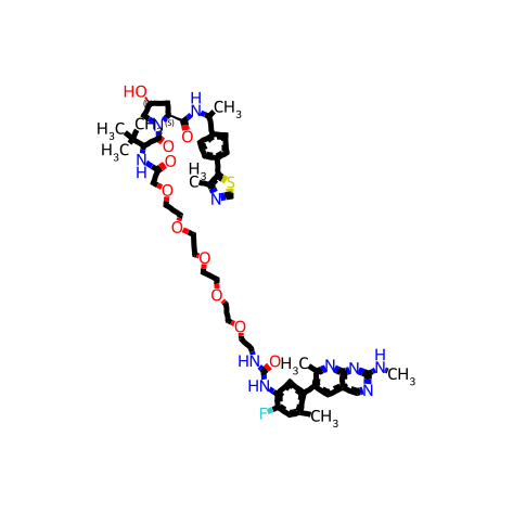 CNc1ncc2cc(-c3cc(NC(=O)NCCOCCOCCOCCOCCOCC(=O)NC(C(=O)N4C[C@H](O)C[C@H]4C(=O)NC(C)c4ccc(-c5scnc5C)cc4)C(C)(C)C)c(F)cc3C)c(C)nc2n1